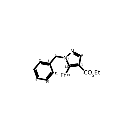 CCOC(=O)c1cnn(Cc2ccccc2)c1CC